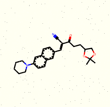 CC1(C)OCC(CCC(=O)/C(C#N)=C/c2ccc3cc(N4CCCCC4)ccc3c2)O1